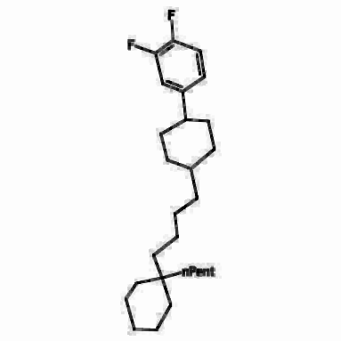 CCCCCC1(CCCCC2CCC(c3ccc(F)c(F)c3)CC2)CCCCC1